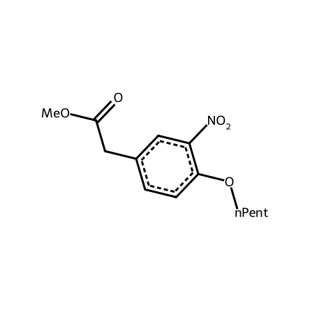 CCCCCOc1ccc(CC(=O)OC)cc1[N+](=O)[O-]